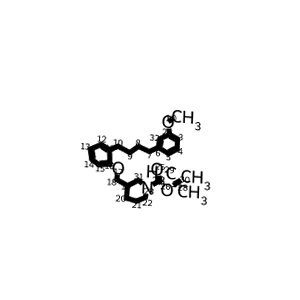 COc1cccc(CCCCc2ccccc2OCC2CCCN(C(=O)OC(C)(C)C)C2)c1